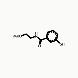 COCCNC(=O)c1cccc(S)c1